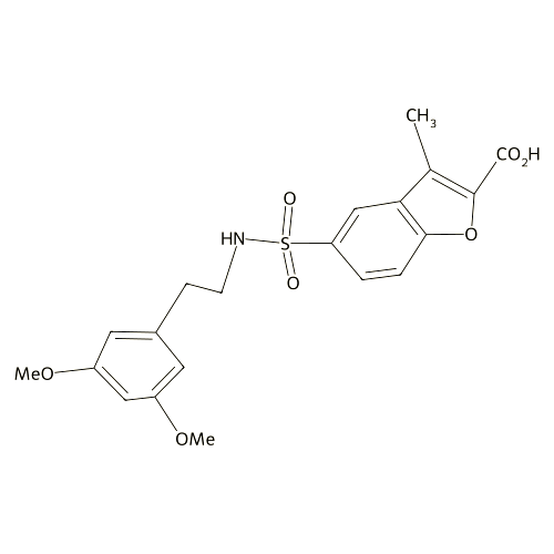 COc1cc(CCNS(=O)(=O)c2ccc3oc(C(=O)O)c(C)c3c2)cc(OC)c1